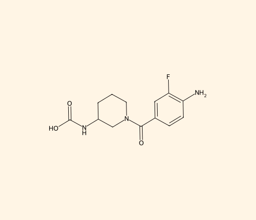 Nc1ccc(C(=O)N2CCCC(NC(=O)O)C2)cc1F